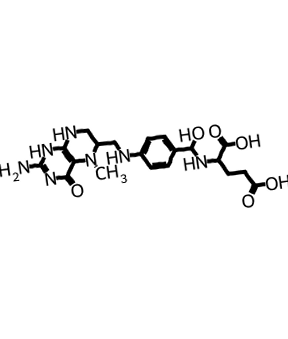 CN1c2c([nH]c(N)nc2=O)NCC1CNc1ccc(C(O)NC(CCC(=O)O)C(=O)O)cc1